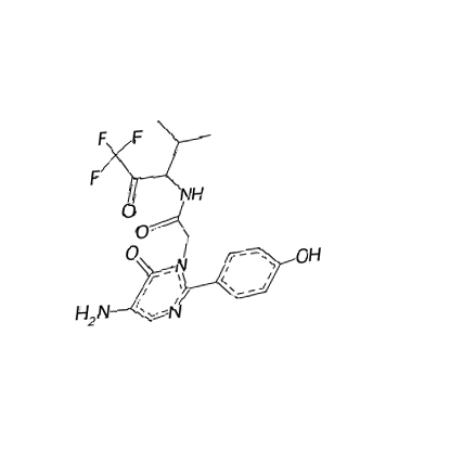 CC(C)C(NC(=O)Cn1c(-c2ccc(O)cc2)ncc(N)c1=O)C(=O)C(F)(F)F